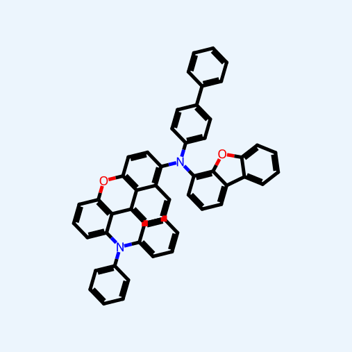 c1ccc(-c2ccc(N(c3ccc4c5c(cccc35)-c3c(cccc3N(c3ccccc3)c3ccccc3)O4)c3cccc4c3oc3ccccc34)cc2)cc1